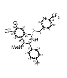 CNC(=O)[C@@H](N[C@@H](CCc1ccc(C(F)(F)F)nc1)c1ccc(Cl)c(Cl)c1)c1ccc(F)cc1